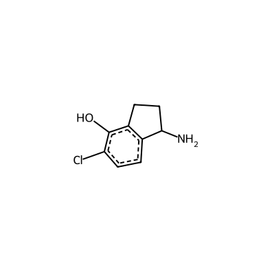 NC1CCc2c1ccc(Cl)c2O